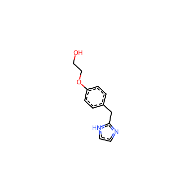 OCCOc1ccc(Cc2ncc[nH]2)cc1